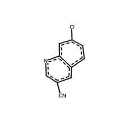 N#Cc1cnc2cc(Cl)ccc2c1